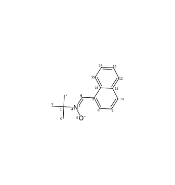 CC(C)(C)[N+]([O-])=Cc1cccc2ccccc12